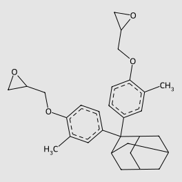 Cc1cc(C2(c3ccc(OCC4CO4)c(C)c3)C3CC4CC(C3)CC2C4)ccc1OCC1CO1